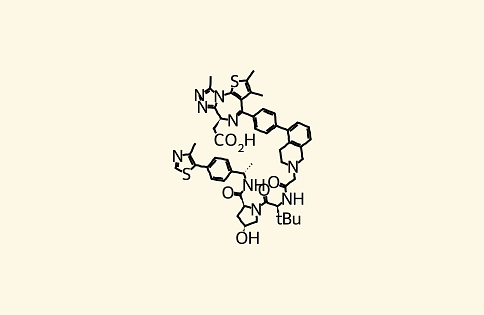 Cc1ncsc1-c1ccc([C@H](C)NC(=O)[C@@H]2C[C@@H](O)CN2C(=O)[C@@H](NC(=O)CN2CCc3c(cccc3-c3ccc(C4=N[C@@H](CC(=O)O)c5nnc(C)n5-c5sc(C)c(C)c54)cc3)C2)C(C)(C)C)cc1